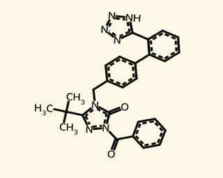 CC(C)(C)c1nn(C(=O)c2ccccc2)c(=O)n1Cc1ccc(-c2ccccc2-c2nnn[nH]2)cc1